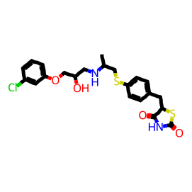 CC(CSc1ccc(CC2SC(=O)NC2=O)cc1)NCC(O)COc1cccc(Cl)c1